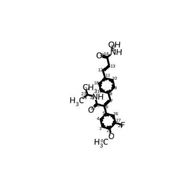 COc1ccc(C(=Cc2ccc(C=CC(=O)NO)cc2)C(=O)NC(C)C)cc1F